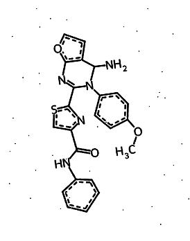 COc1ccc(N2C(c3nc(C(=O)Nc4ccccc4)cs3)=Nc3occc3C2N)cc1